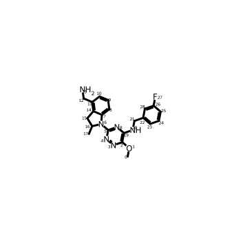 COc1nnc(N2c3cccc(CN)c3CC2C)nc1NCc1cccc(F)c1